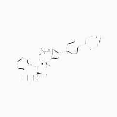 CN1CCC(c2ccc(-c3cc4c(=O)n(C(C(N)=O)c5ccccc5)cnn4c3)cc2)CC1